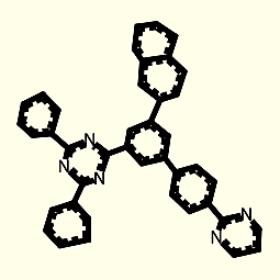 c1ccc(-c2nc(-c3ccccc3)nc(-c3cc(-c4ccc(-c5ncccn5)cc4)cc(-c4ccc5ccccc5c4)c3)n2)cc1